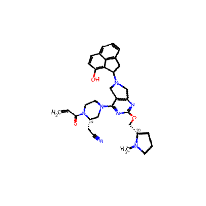 C=CC(=O)N1CCN(c2nc(OC[C@@H]3CCCN3C)nc3c2CN(C2Cc4cccc5ccc(O)c2c45)C3)C[C@@H]1CC#N